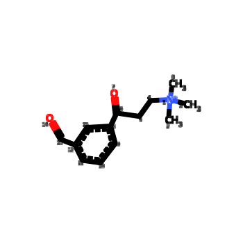 C[N+](C)(C)CCC(=O)c1cccc(C=O)c1